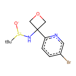 CC(C)(C)[S+]([O-])NC1(c2ccc(Br)cn2)COC1